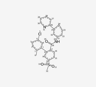 Cc1ccc(Cl)cc1-c1cc(S(C)(=O)=O)ccc1C(=O)Nc1cccc(-c2ccccn2)c1